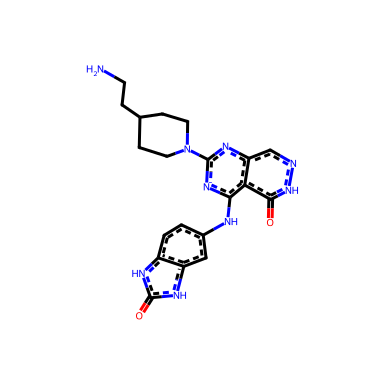 NCCC1CCN(c2nc(Nc3ccc4[nH]c(=O)[nH]c4c3)c3c(=O)[nH]ncc3n2)CC1